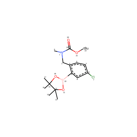 CN(Cc1ccc(Cl)cc1B1OC(C)(C)C(C)(C)O1)C(=O)OC(C)(C)C